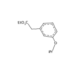 CCOC(=O)Cc1cccc(OC(C)C)c1